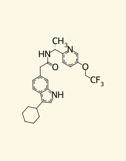 C[C@@H](NC(=O)Cc1ccc2c(C3CCCCC3)c[nH]c2c1)c1ccc(OCC(F)(F)F)cn1